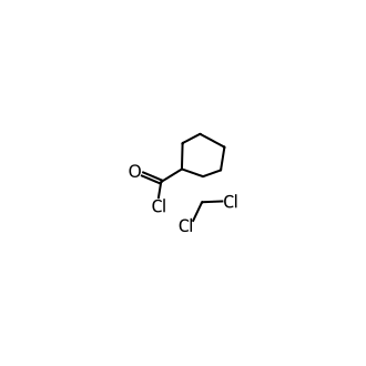 ClCCl.O=C(Cl)C1CCCCC1